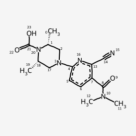 C[C@@H]1CN(c2ccc(C(=O)N(C)C)c(C#N)n2)C[C@H](C)N1C(=O)O